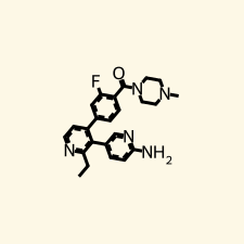 CCc1nccc(-c2ccc(C(=O)N3CCN(C)CC3)c(F)c2)c1-c1ccc(N)nc1